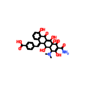 CN(C)C1C(O)=C(C(N)=O)C(=O)C2(O)C(O)=C3C(=O)c4c(O)cccc4/C(=C\c4ccc(C(=O)O)cc4)C3C(O)C12